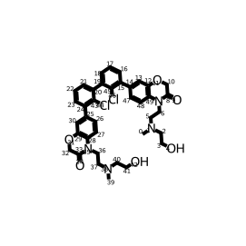 CN(CCO)CCN1C(=O)COc2cc(-c3cccc(-c4cccc(-c5ccc6c(c5)OCC(=O)N6CCN(C)CCO)c4Cl)c3Cl)ccc21